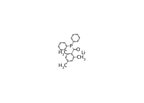 Cc1cc(C)c(C(=O)P(c2ccccc2)c2ccccc2)c(C)c1.[Li]